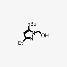 CCCCc1cc(CC)nn1CO